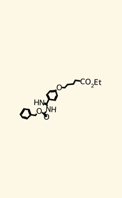 CCOC(=O)CCCCOc1ccc(C(=N)NC(=O)OCc2ccccc2)cc1